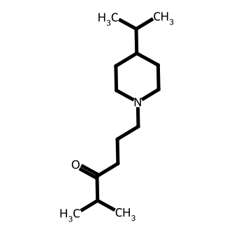 CC(C)C(=O)CCCN1CCC(C(C)C)CC1